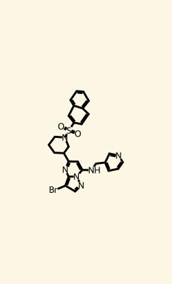 O=S(=O)(c1ccc2ccccc2c1)N1CCCC(c2cc(NCc3cccnc3)n3ncc(Br)c3n2)C1